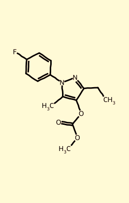 CCc1nn(-c2ccc(F)cc2)c(C)c1OC(=O)OC